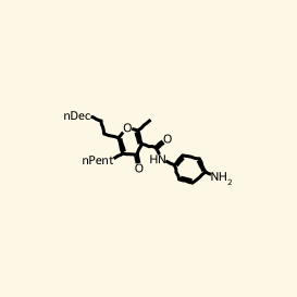 CCCCCCCCCCCCc1oc(C)c(C(=O)Nc2ccc(N)cc2)c(=O)c1CCCCC